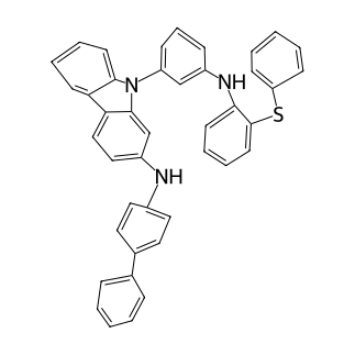 c1ccc(Sc2ccccc2Nc2cccc(-n3c4ccccc4c4ccc(Nc5ccc(-c6ccccc6)cc5)cc43)c2)cc1